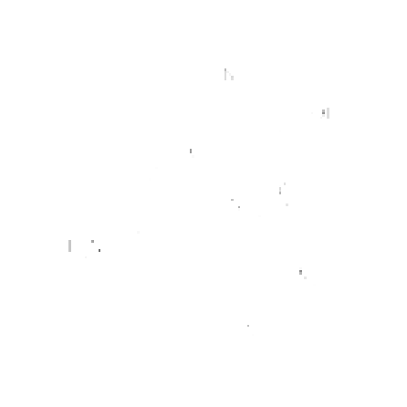 C[C@H](N)C(=O)O.NC(=O)CC(N)C(=O)O